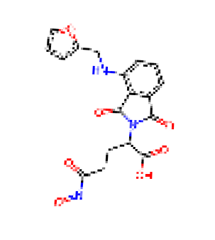 O=NC(=O)CCC(C(=O)O)N1C(=O)c2cccc(NCc3ccco3)c2C1=O